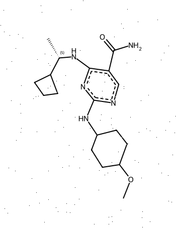 COC1CCC(Nc2ncc(C(N)=O)c(N[C@@H](C)C3CCC3)n2)CC1